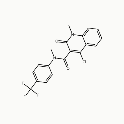 CN(C(=O)c1c(Cl)c2ccccc2n(C)c1=O)c1ccc(C(F)(F)F)cc1